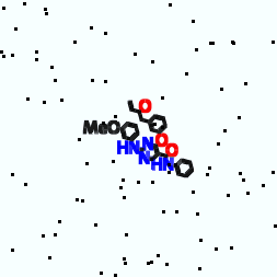 C=CC(=O)Cc1cccc(Oc2nc(Nc3cccc(OC)c3)ncc2C(=O)Nc2ccccc2)c1